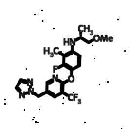 COC[C@H](C)Nc1ccc(Oc2ncc(Cn3nccn3)cc2C(F)(F)F)c(F)c1C